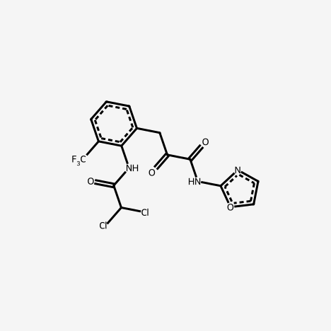 O=C(Cc1cccc(C(F)(F)F)c1NC(=O)C(Cl)Cl)C(=O)Nc1ncco1